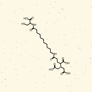 O=C(O)CN(CC(=O)O)C(CCC(=O)NCCCCCCCCCCC(=O)NC(CS)C(=O)O)C(=O)O